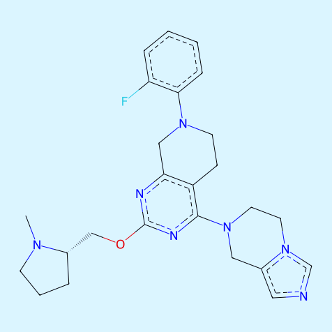 CN1CCC[C@H]1COc1nc2c(c(N3CCn4cncc4C3)n1)CCN(c1ccccc1F)C2